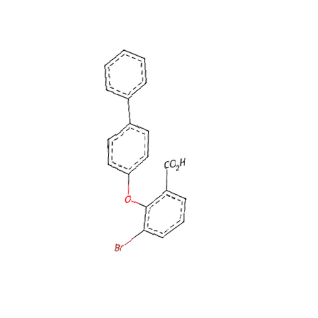 O=C(O)c1cccc(Br)c1Oc1ccc(-c2ccccc2)cc1